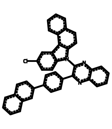 Clc1ccc2c(c1)c1c3ccccc3ccc1n2-c1nc2ccccc2nc1-c1ccc(-c2ccc3ccccc3c2)cc1